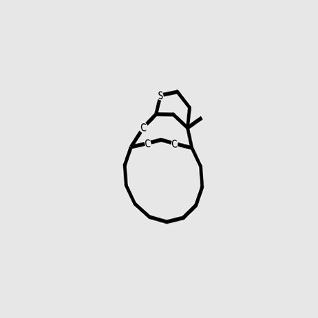 CC12CCSC(CC3CCCCCCCCCC1CCC3)C2